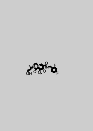 COc1c2n(cc(C(=O)NCc3ccc(F)cc3F)c1=O)CCN([C@H](C)CCO)C2=O